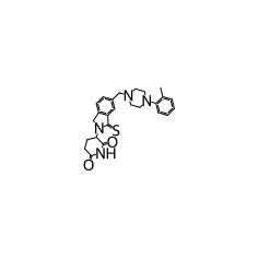 Cc1ccccc1N1CCN(Cc2ccc3c(c2)C(=S)N(C2CCC(=O)NC2=O)C3)CC1